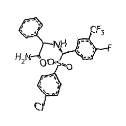 NC(=O)C(N[C@@H](c1ccc(F)c(C(F)(F)F)c1)S(=O)(=O)c1ccc(Cl)cc1)c1ccccc1